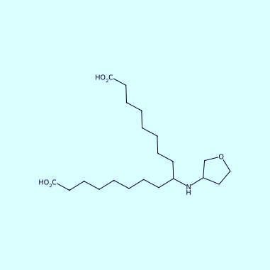 O=C(O)CCCCCCCC(CCCCCCCC(=O)O)NC1CCOC1